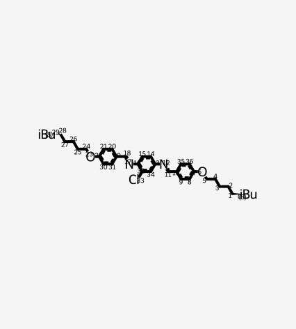 CC[C@H](C)CCCCCOc1ccc(C=Nc2ccc(N=Cc3ccc(OCCCCC[C@@H](C)CC)cc3)c(Cl)c2)cc1